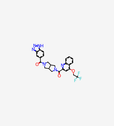 O=C(c1ccc2[nH]nnc2c1)N1CC2CN(C(=O)c3cc(OCC(F)(F)F)c4ccccc4n3)CC2C1